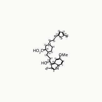 COc1ccc2ncc(F)c([C@H](O)CCC3CCN(CCSc4ccc(F)s4)CC3C(=O)O)c2c1